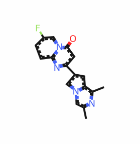 Cc1cn2cc(-c3cc(=O)n4cc(F)ccc4n3)cc2c(C)n1